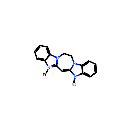 CCN1C2=Cc3n(c4ccccc4[n+]3CC)CCN2c2ccccc21